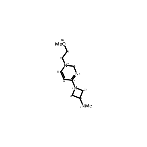 CNC1CN(C2=NCN(CCOC)C=C2)C1